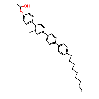 CCCCCCCCCCc1ccc(-c2ccc(-c3ccc(-c4ccc(OC(C)O)cc4)c(C)c3)cc2)cc1